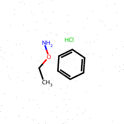 CCON.Cl.c1ccccc1